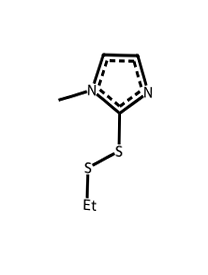 CCSSc1nccn1C